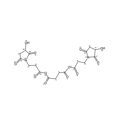 O=C(CCC(=O)OC(=O)CCN1C(=O)CC(O)C1=O)OC(=O)CCN1C(=O)CC(O)C1=O